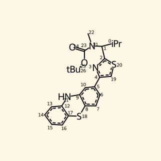 CC(C)C(c1nc(-c2ccc3c(c2)Nc2ccccc2S3)cs1)N(C)C(=O)OC(C)(C)C